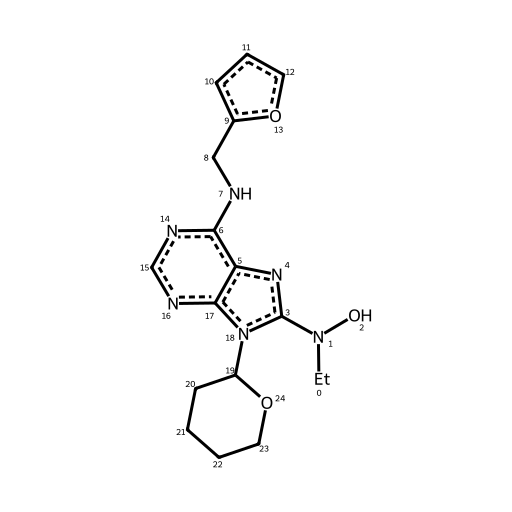 CCN(O)c1nc2c(NCc3ccco3)ncnc2n1C1CCCCO1